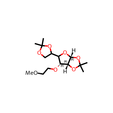 COCCO[C@@H]1C(C2COC(C)(C)O2)O[C@@H]2OC(C)(C)O[C@@H]21